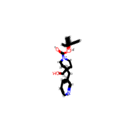 CC(C)(C)OC(=O)N1CCC(CO)(Cc2cccnc2)CC1